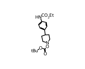 CCOC(=O)Nc1ccc(C2CCN(OC(=O)OC(C)(C)C)CC2)cc1